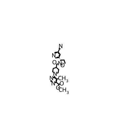 COC(=O)c1ncnc(N2CCC(C(=O)N3OCC[C@H]3c3cncc(C#N)c3)CC2)c1C